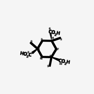 C[C@]1(C(=O)O)C[C@](C)(C(=O)O)C[C@@](C)(C(=O)O)C1